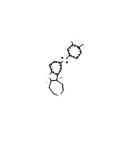 O=S(=O)(c1ccc(F)c(F)c1)c1ccc2c(c1)[C@@H]1CCNCC[C@H]1N2